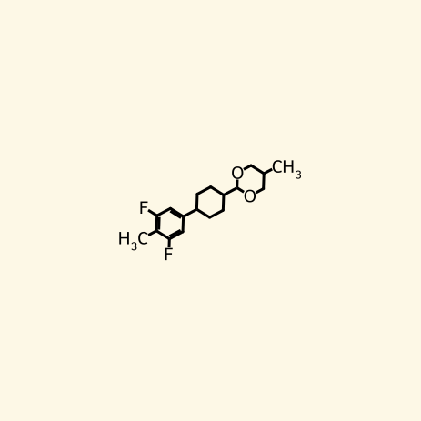 Cc1c(F)cc(C2CCC(C3OCC(C)CO3)CC2)cc1F